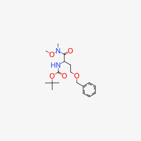 CON(C)C(=O)C(CCOCc1ccccc1)NC(=O)OC(C)(C)C